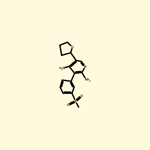 CS(=O)(=O)c1cccc(-c2c(N)ncc(C3CCCO3)c2N)c1